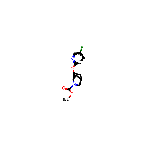 CC(C)(C)OC(=O)N1CC2CC(Oc3ccc(F)cn3)C1C2